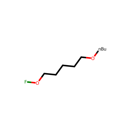 CCCCOCCCCCOF